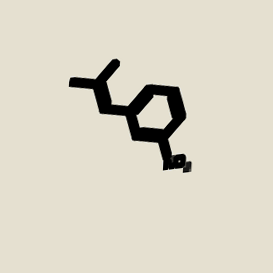 CC(C)=Cc1cccc([N+](=O)[O-])c1